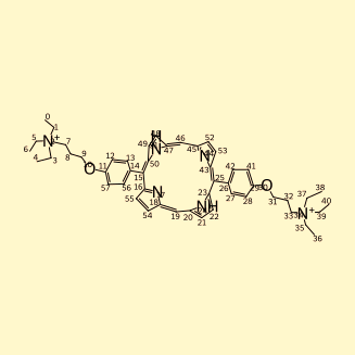 CC[N+](CC)(CC)CCCOc1ccc(-c2c3nc(cc4ccc([nH]4)c(-c4ccc(OCCC[N+](CC)(CC)CC)cc4)c4nc(cc5ccc2[nH]5)C=C4)C=C3)cc1